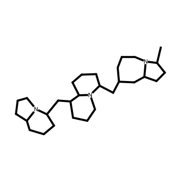 CC1CCC2CC(CC3CCCC4C(CC5CCCC6CCCN65)CCCN34)CCCN12